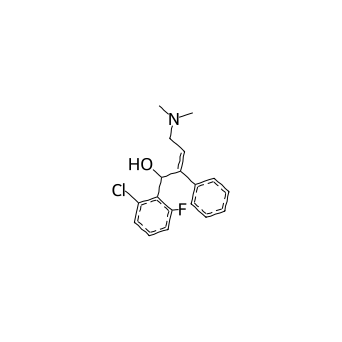 CN(C)CC=C(c1ccccc1)C(O)c1c(F)cccc1Cl